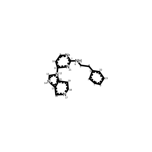 c1ccc(CCNc2nccc(-n3cnc4cnccc43)n2)cc1